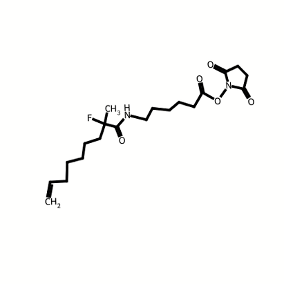 C=CCCCCCC(C)(F)C(=O)NCCCCCC(=O)ON1C(=O)CCC1=O